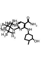 BC(B)(B)C(Nc1ncc(C(N)=O)c(NC2CCC(C)C(O)C2)n1)(C(B)(B)B)C(B)(B)B